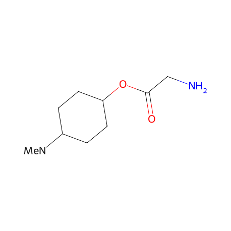 CNC1CCC(OC(=O)CN)CC1